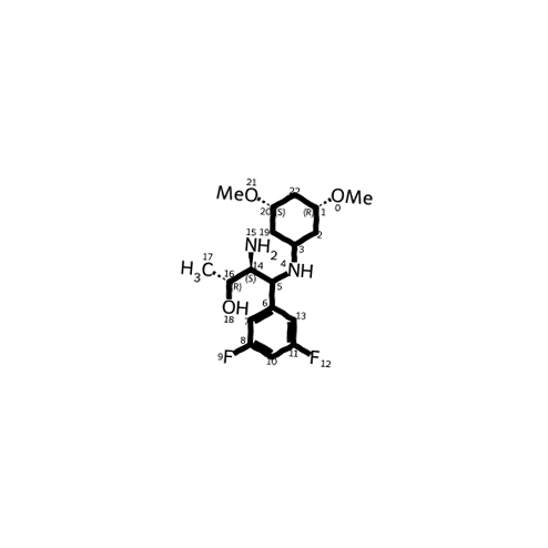 CO[C@@H]1CC(NC(c2cc(F)cc(F)c2)[C@H](N)[C@@H](C)O)C[C@H](OC)C1